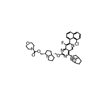 O=C(OC[C@H]1CC[C@@]2(COc3nc(N4CC5CCC(C4)N5)c4cnc(-c5cccc6cccc(Cl)c56)c(F)c4n3)CCCN12)N1CCOCC1